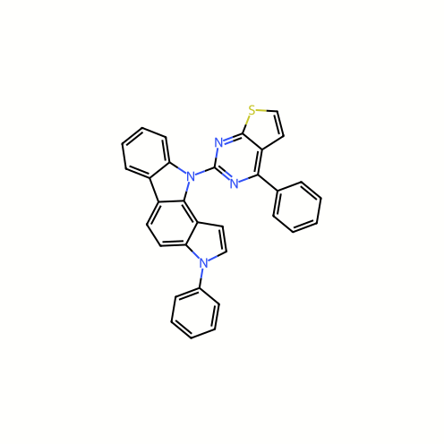 c1ccc(-c2nc(-n3c4ccccc4c4ccc5c(ccn5-c5ccccc5)c43)nc3sccc23)cc1